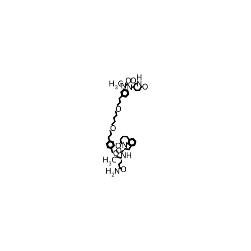 C[C@@H](OCc1ccc(CCCOCCCCCOCCCc2ccc3c(c2)n(C)c(=O)n3C2CCC(=O)NC2=O)cc1)[C@H](CCC(N)=O)NC(=O)[C@@H]1Cc2cccc3c2N1C(=O)CCC3